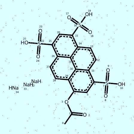 CC(=O)Oc1cc(S(=O)(=O)O)c2ccc3c(S(=O)(=O)O)cc(S(=O)(=O)O)c4ccc1c2c43.[NaH].[NaH].[NaH]